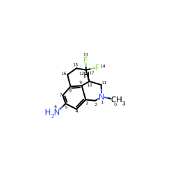 CN1Cc2cc(N)cc3c2[C@H](C1)C(F)(F)CC3